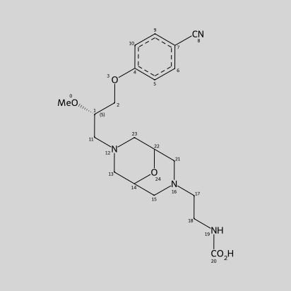 CO[C@H](COc1ccc(C#N)cc1)CN1CC2CN(CCNC(=O)O)CC(C1)O2